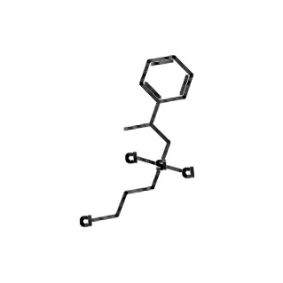 CC(C[Si](Cl)(Cl)CCCCl)c1ccccc1